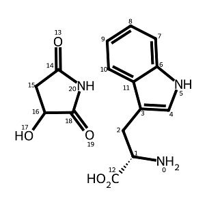 N[C@@H](Cc1c[nH]c2ccccc12)C(=O)O.O=C1CC(O)C(=O)N1